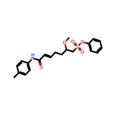 COC(CCC=CC(=O)Nc1ccc(C)cc1)CS(=O)(=O)Oc1ccccc1